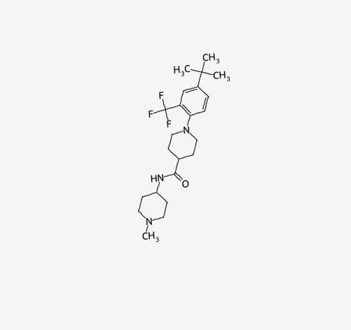 CN1CCC(NC(=O)C2CCN(c3ccc(C(C)(C)C)cc3C(F)(F)F)CC2)CC1